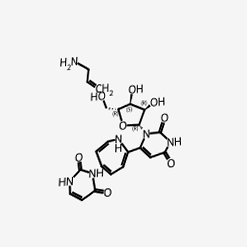 C=CCN.O=c1cc(C2=CC=CC=CN2)n([C@@H]2O[C@H](CO)[C@@H](O)[C@H]2O)c(=O)[nH]1.O=c1cc[nH]c(=O)[nH]1